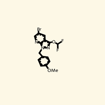 COc1ccc(Cn2nc(OC(F)F)c3cc(Br)cnc32)cc1